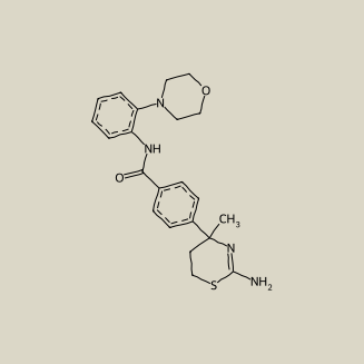 CC1(c2ccc(C(=O)Nc3ccccc3N3CCOCC3)cc2)CCSC(N)=N1